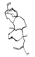 COC(=O)CC1(C)CCCC2(C)C1CCC13C=C(C(C)C)C(CC12)C(C(=O)O)C3